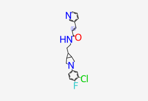 O=C(/C=C/c1cccnc1)NCCC1C2CN(c3ccc(F)c(Cl)c3)CC12